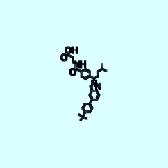 CC(C)CCC(c1ccc(C(=O)NCCC(=O)O)cc1)n1cc2cc(-c3ccc(C(C)(C)C)cc3)ccc2n1